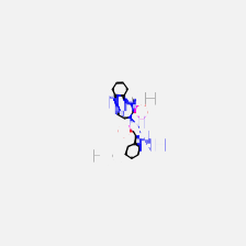 CN1C(=O)C(NC(=O)c2n[nH]c3c2C[C@@H](C(F)(F)F)CC3)CCn2nc3c(c21)CCCC3